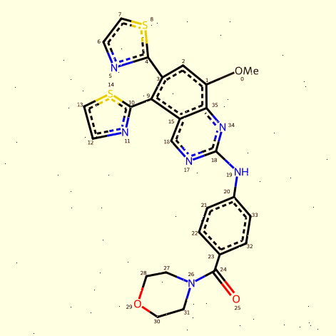 COc1cc(-c2nccs2)c(-c2nccs2)c2cnc(Nc3ccc(C(=O)N4CCOCC4)cc3)nc12